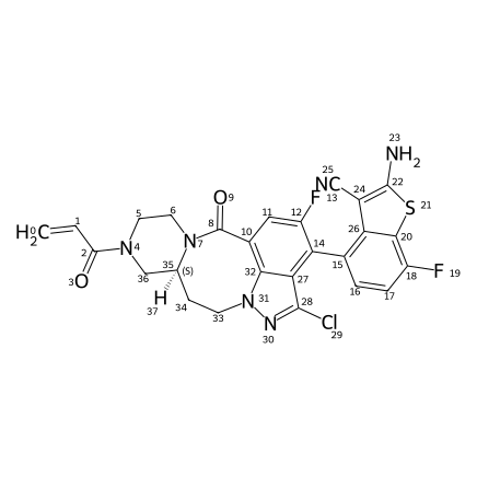 C=CC(=O)N1CCN2C(=O)c3cc(F)c(-c4ccc(F)c5sc(N)c(C#N)c45)c4c(Cl)nn(c34)CC[C@H]2C1